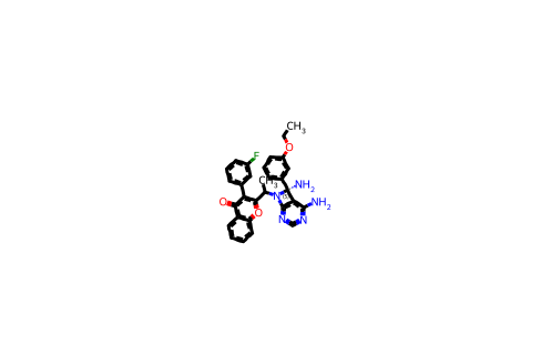 CCOc1cccc([C@@]2(N)c3c(N)ncnc3N2C(C)c2oc3ccccc3c(=O)c2-c2cccc(F)c2)c1